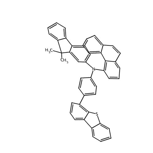 CC1(C)c2ccccc2-c2ccc(N(c3ccc(-c4cccc5c4sc4ccccc45)cc3)c3cccc4ccc5ccccc5c34)cc21